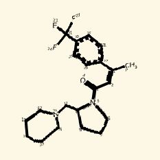 CC(=CC(=O)N1CCCC1CN1CCCCC1)c1ccc(C(F)(F)F)cc1